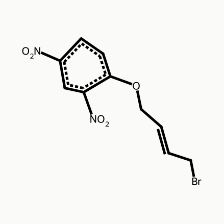 O=[N+]([O-])c1ccc(OCC=CCBr)c([N+](=O)[O-])c1